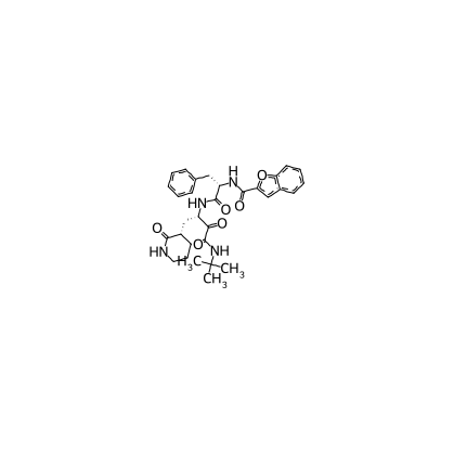 CC(C)(C)NC(=O)C(=O)[C@H](C[C@@H]1CCCNC1=O)NC(=O)[C@H](Cc1ccccc1)NC(=O)c1cc2ccccc2o1